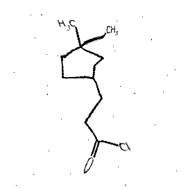 CC1(C)CCC(CCC(=O)Cl)C1